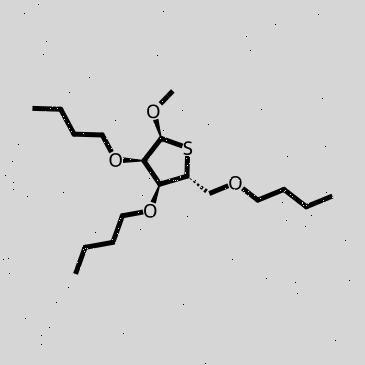 CCCCOC[C@H]1S[C@H](OC)[C@H](OCCCC)[C@@H]1OCCCC